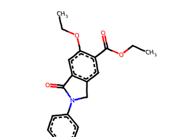 CCOC(=O)c1cc2c(cc1OCC)C(=O)N(c1ccccc1)C2